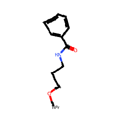 CCCOCCCNC(=O)c1ccccc1